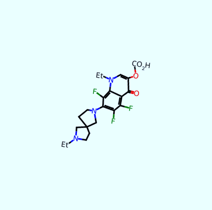 CCN1CCC2(CCN(c3c(F)c(F)c4c(=O)c(OC(=O)O)cn(CC)c4c3F)C2)C1